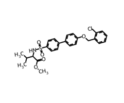 COC(=O)C(NS(=O)(=O)c1ccc(-c2ccc(OCc3ccccc3Cl)cc2)cc1)C(C)C